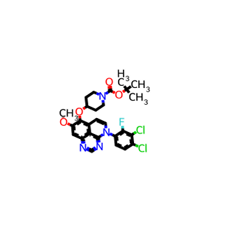 COc1cc2ncnc3c2c(c1OC1CCN(C(=O)OC(C)(C)C)CC1)C=CN3c1ccc(Cl)c(Cl)c1F